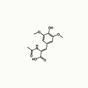 COc1cc(/C=C(\NC(C)=O)C(=O)O)cc(OC)c1O